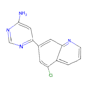 Nc1cc(-c2cc(Cl)c3cccnc3c2)ncn1